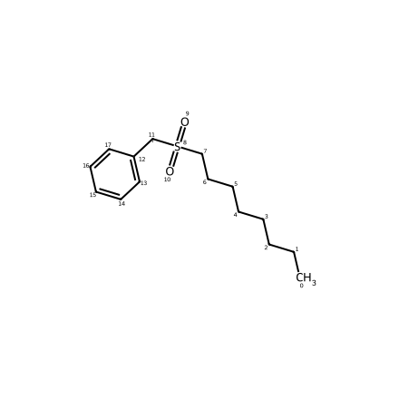 CCCCCCCCS(=O)(=O)[CH]c1ccccc1